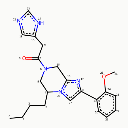 CCCCC1CN(C(=O)Cc2cnc[nH]2)Cc2nc(-c3ccccc3OC)cn21